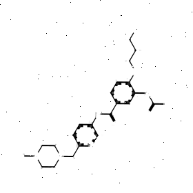 CCC(=O)Nc1cc(C(=O)Nc2ccc(CN3CCN(C)CC3)nc2)ccc1OCCCCl